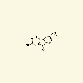 N#CC(CN1C(=O)c2ccc([N+](=O)[O-])cc2C1=O)SC(F)(F)F